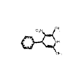 CC1=CC(c2ccccc2)C([N+](=O)[O-])=C(C)N1